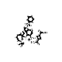 CCC1(Nc2c([N+](=O)[O-])cnc3c2ccn3S(=O)(=O)c2ccccc2)C=CC=CN(C(C)(C)C)C1.O=C(O)C1CC(C(=O)O)C1